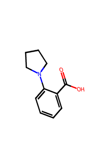 O=C(O)c1ccccc1N1CCCC1